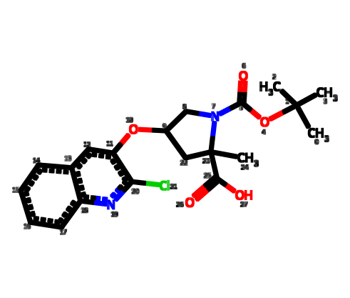 CC(C)(C)OC(=O)N1CC(Oc2cc3ccccc3nc2Cl)CC1(C)C(=O)O